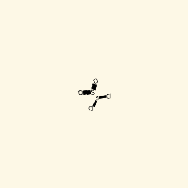 ClSCl.O=S=O